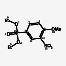 CCOP(=O)(OCC)c1ccc(OC)c([N+](=O)[O-])c1